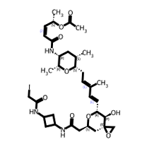 CC(=O)O[C@@H](C)/C=C\C(=O)N[C@@H]1C[C@H](C)[C@H](C/C=C(C)/C=C/[C@H]2O[C@H](CC(=O)NC3CC(NC(=O)CI)C3)C[C@@]3(CO3)[C@@H]2O)O[C@@H]1C